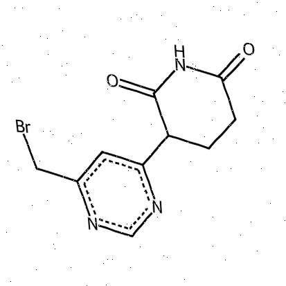 O=C1CCC(c2cc(CBr)ncn2)C(=O)N1